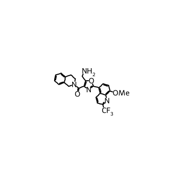 COc1ccc(-c2nc(C(=O)N3CCc4ccccc4C3)c(CN)o2)c2ccc(C(F)(F)F)nc12